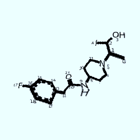 CC(C(O)I)N1CCC(NC(=O)Cc2ccc(F)cc2)CC1